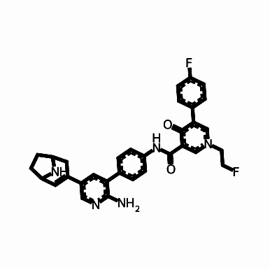 Nc1ncc(C2=CC3CCC(C2)N3)cc1-c1ccc(NC(=O)c2cn(CCF)cc(-c3ccc(F)cc3)c2=O)cc1